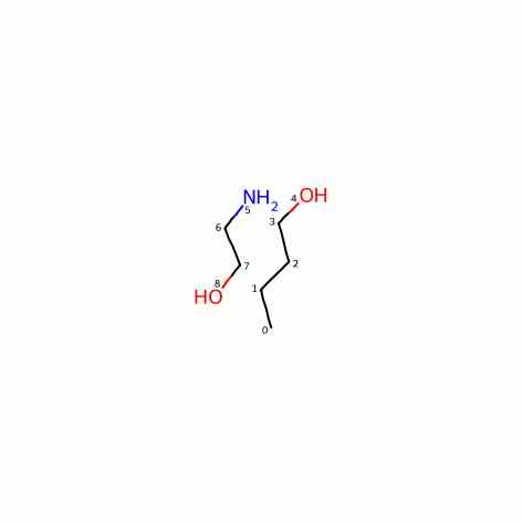 CCCCO.NCCO